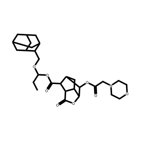 CCC(OCC1C2CC3CC(C2)CC1C3)OC(=O)C1C2CC3C(OC(=O)C31)C2OC(=O)CN1CCOCC1